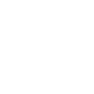 CC=CC(=O)OC(C)OCCO[Si](C)(C)C